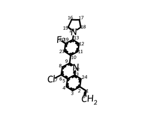 C=Cc1ccc2c(Cl)cc(-c3ccc(N4CCCC4)c(F)c3)nc2c1